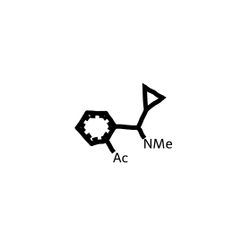 CNC(c1ccccc1C(C)=O)C1CC1